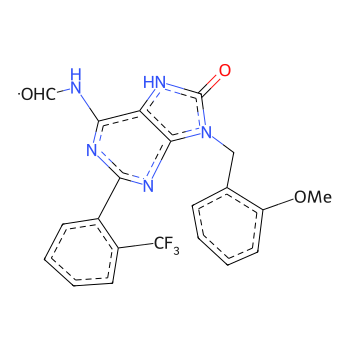 COc1ccccc1Cn1c(=O)[nH]c2c(N[C]=O)nc(-c3ccccc3C(F)(F)F)nc21